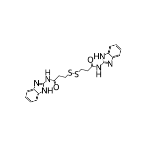 O=C(CCSSCCC(=O)Nc1nc2ccccc2[nH]1)Nc1nc2ccccc2[nH]1